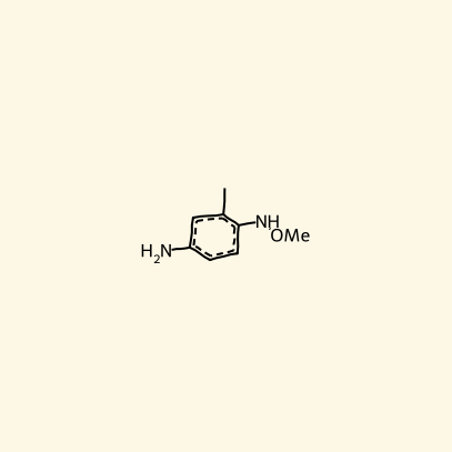 CONc1ccc(N)cc1C